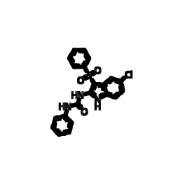 O=C(Nc1ccccc1)Nc1[nH]c2ccc(Cl)cc2c1S(=O)(=O)c1ccccc1